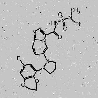 CCN(C)S(=O)(=O)NC(=O)c1cnc2ccc(N3CCCC3c3cc(F)cc4c3OCCO4)cn12